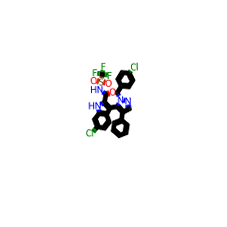 O=C(NS(=O)(=O)C(F)(F)F)c1[nH]c2cc(Cl)ccc2c1-c1c(-c2ccccc2)cnn1Cc1ccc(Cl)cc1